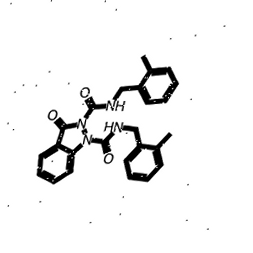 Cc1ccccc1CNC(=O)n1c(=O)c2ccccc2n1C(=O)NCc1ccccc1C